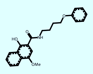 COc1cc(C(=O)NCCCCOc2ccccc2)c(O)c2ccccc12